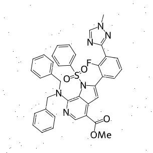 COC(=O)c1cnc(N(Cc2ccccc2)Cc2ccccc2)c2c1cc(-c1cccc(-c3ncn(C)n3)c1F)n2S(=O)(=O)c1ccccc1